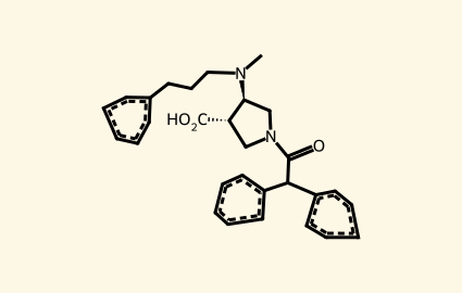 CN(CCCc1ccccc1)[C@H]1CN(C(=O)C(c2ccccc2)c2ccccc2)C[C@@H]1C(=O)O